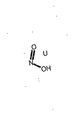 O=NO.[U]